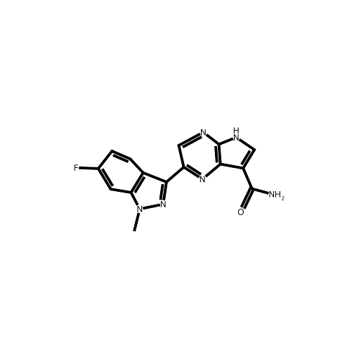 Cn1nc(-c2cnc3[nH]cc(C(N)=O)c3n2)c2ccc(F)cc21